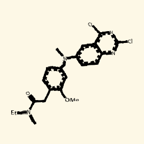 CCN(C)C(=O)Cc1ccc(N(C)c2ccc3nc(Cl)nc(Cl)c3c2)cc1OC